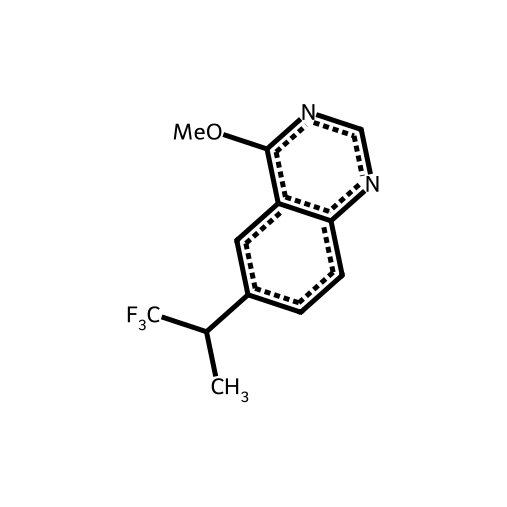 COc1ncnc2ccc(C(C)C(F)(F)F)cc12